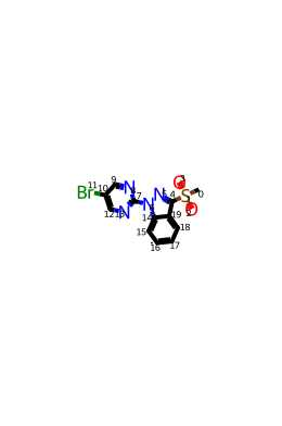 CS(=O)(=O)c1nn(-c2ncc(Br)cn2)c2c[c]ccc12